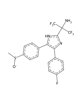 C[S+]([O-])c1ccc(-c2[nH]c(C(N)(C(F)(F)F)C(F)(F)F)nc2-c2ccc(F)cc2)cc1